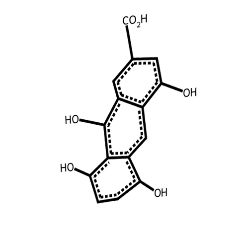 O=C(O)c1cc(O)c2cc3c(O)ccc(O)c3c(O)c2c1